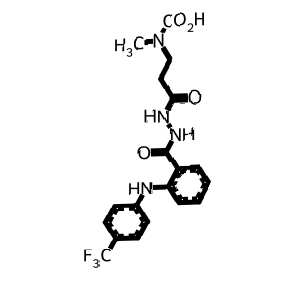 CN(CCC(=O)NNC(=O)c1ccccc1Nc1ccc(C(F)(F)F)cc1)C(=O)O